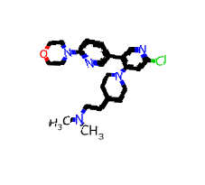 CN(C)CCC1CCN(c2cc(Cl)ncc2-c2ccc(N3CCOCC3)nc2)CC1